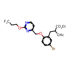 CCOC(=O)C(Cc1cc(Br)ccc1OCc1ccnc(OCCC(F)(F)F)n1)OC(C)=O